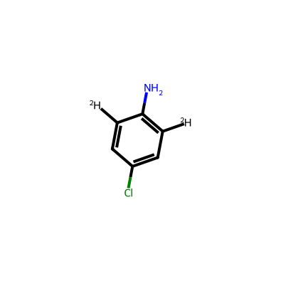 [2H]c1cc(Cl)cc([2H])c1N